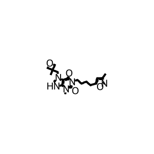 Cc1cc(CCCCn2c(=O)c3c(n(C)c2=O)NCN3CC2(C)COC2)on1